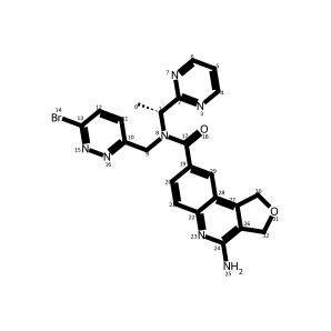 C[C@H](c1ncccn1)N(Cc1ccc(Br)nn1)C(=O)c1ccc2nc(N)c3c(c2c1)COC3